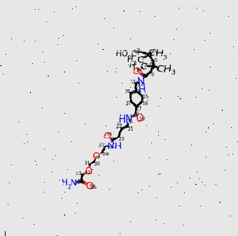 CC(C)(CC(=O)O)CC(C)(C)CC(=O)NCC1CCC(C(=O)NCCCC(=O)NCCOCCOCC(N)=O)CC1